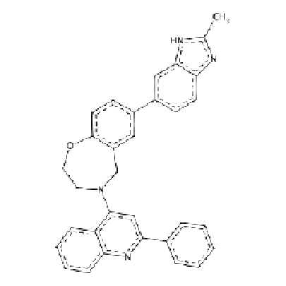 Cc1nc2ccc(-c3ccc4c(c3)CN(c3cc(-c5ccccc5)nc5ccccc35)CCO4)cc2[nH]1